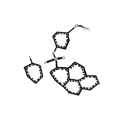 COc1ccc(OS(=O)(=O)c2ccc3ccc4cccc5ccc2c3c45)cc1.Ic1ccccc1